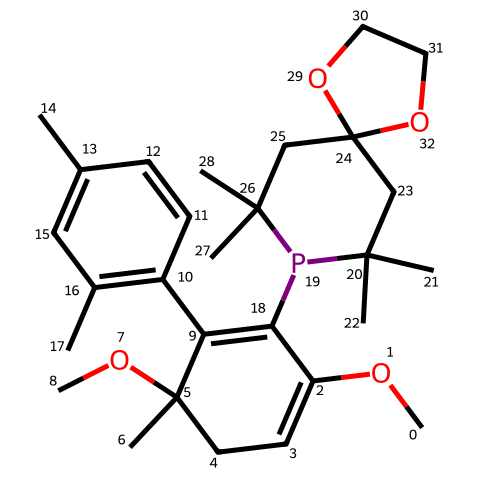 COC1=CCC(C)(OC)C(c2ccc(C)cc2C)=C1P1C(C)(C)CC2(CC1(C)C)OCCO2